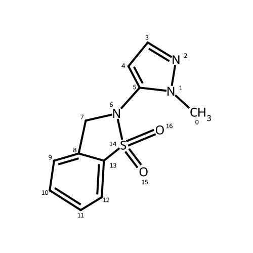 Cn1nccc1N1Cc2ccccc2S1(=O)=O